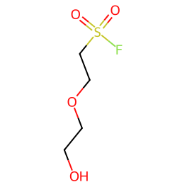 O=S(=O)(F)CCOCCO